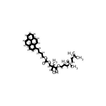 CN(C)CC[N+](C)(C)CCCOC(=O)C(C)(CO)COC(=O)OCCCCc1ccc2c3c1C=CC1=CC=CC(=CC2)C13